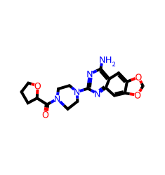 Nc1nc(N2CCN(C(=O)C3CCCO3)CC2)nc2cc3c(cc12)OCO3